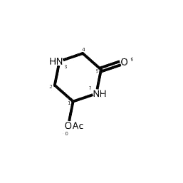 CC(=O)OC1CNCC(=O)N1